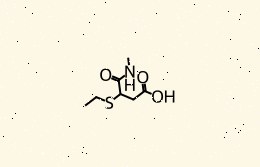 CCSC(CC(=O)O)C(=O)NC